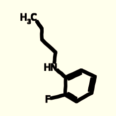 CCCCNc1ccccc1F